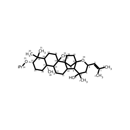 CC(C)=CC1CC(C)(O)C2C3CCC4C(C)(CCC5C(C)(C)[C@@H](OC(C)C)CC[C@@]54C)C34CCC2(C4)O1